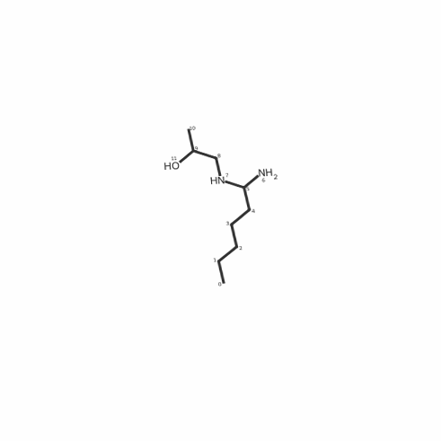 CCCCCC(N)NCC(C)O